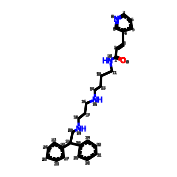 O=C(C=Cc1cccnc1)NCCCCNCCCNCC(c1ccccc1)c1ccccc1